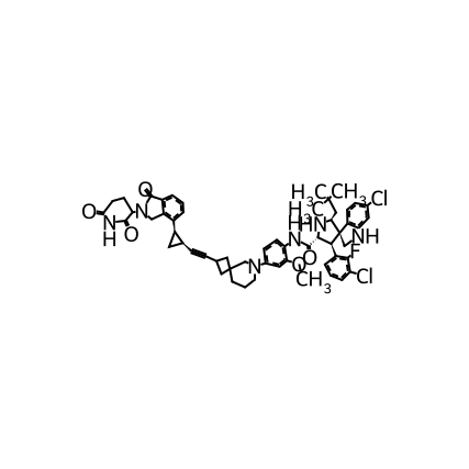 COc1cc(N2CCCC3(CC(C#C[C@H]4C[C@H]4c4cccc5c4CN(C4CCC(=O)NC4=O)C5=O)C3)C2)ccc1NC(=O)[C@@H]1N[C@@H](CC(C)(C)C)[C@@]2(CNc3cc(Cl)ccc32)[C@H]1c1cccc(Cl)c1F